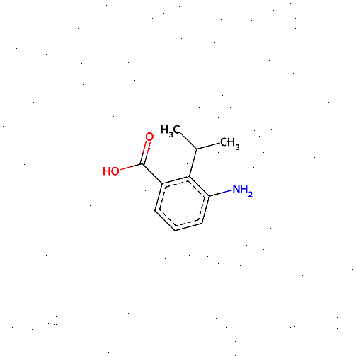 CC(C)c1c(N)cccc1C(=O)O